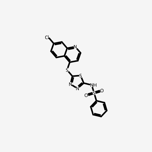 O=S(=O)(Nc1nnc(Sc2ccnc3cc(Cl)ccc23)s1)c1ccccc1